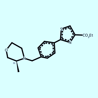 CCOC(=O)c1csc(-c2ccc(CN3CCOC[C@@H]3C)cc2)n1